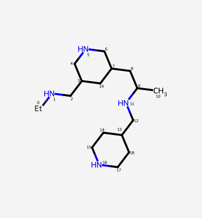 CCNCC1CNCC(CC(C)NCC2CCNCC2)C1